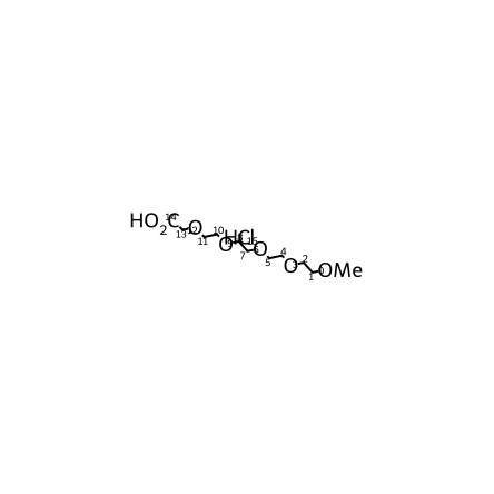 COCCOCCOCCOCCOCC(=O)O.Cl